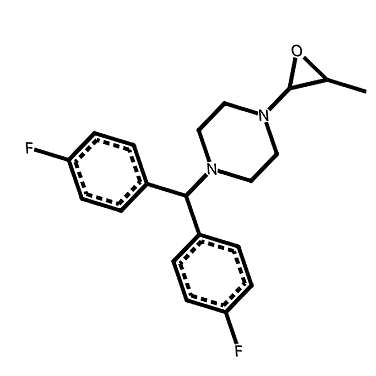 CC1OC1N1CCN(C(c2ccc(F)cc2)c2ccc(F)cc2)CC1